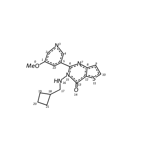 COc1cncc(-c2nc3ccsc3c(=O)n2NCC2CCC2)c1